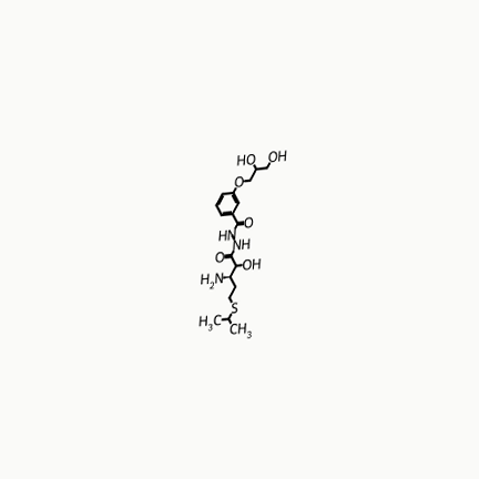 CC(C)SCC[C@@H](N)C(O)C(=O)NNC(=O)c1cccc(OCC(O)CO)c1